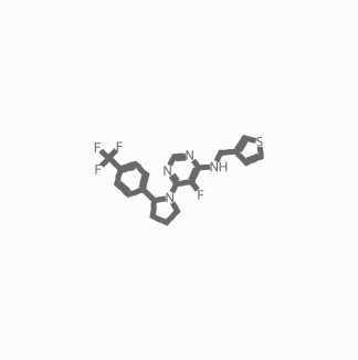 Fc1c(NCc2ccsc2)ncnc1N1CCCC1c1ccc(C(F)(F)F)cc1